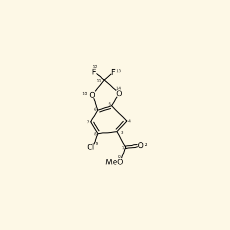 COC(=O)c1cc2c(cc1Cl)OC(F)(F)O2